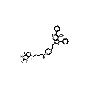 O=C1N[C@H]2[C@H](CS[C@H]2CCCCC(=O)N2CCN(CCn3nc(-c4ccccc4)c4c(O)c(-c5ccccc5)nnc43)CC2)N1